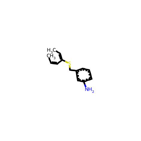 C/C=C\C(=C/C)SCc1cccc(N)c1